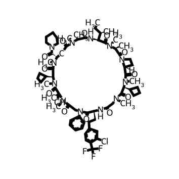 CC[C@H](C)[C@@H]1NC(=O)[C@H](C)N(C)C(=O)C[C@@H](C(=O)N2CCCCC2)N(C)C(=O)[C@H](C2CCC2)N(C)C(=O)C(C)(C)N(C)C(=O)CN(c2ccccc2)C(=O)[C@H](CCc2ccc(C(F)(F)F)c(Cl)c2)NC(=O)CN(C)C(=O)[C@H](C2CCC2)N(C)C(=O)[C@@H]2CCN2C(=O)[C@H](C)N(C)C1=O